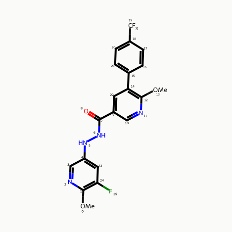 COc1ncc(NNC(=O)c2cnc(OC)c(-c3ccc(C(F)(F)F)cc3)c2)cc1F